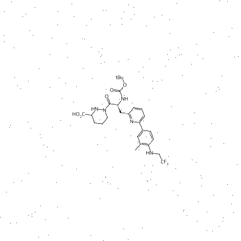 Cc1cc(-c2cccc(C[C@H](NC(=O)OC(C)(C)C)C(=O)N3CCCC(C(=O)O)N3)n2)ccc1NCC(F)(F)F